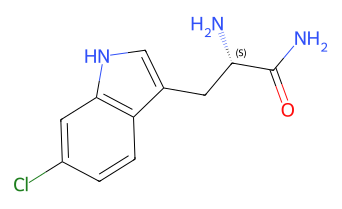 NC(=O)[C@@H](N)Cc1c[nH]c2cc(Cl)ccc12